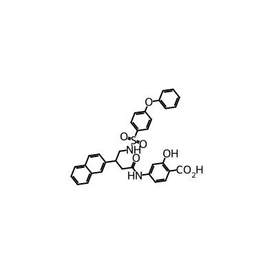 O=C(CC(CNS(=O)(=O)c1ccc(Oc2ccccc2)cc1)c1ccc2ccccc2c1)Nc1ccc(C(=O)O)c(O)c1